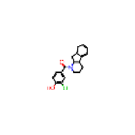 O=C(c1ccc(O)c(Cl)c1)N1CCCC2c3ccccc3CC21